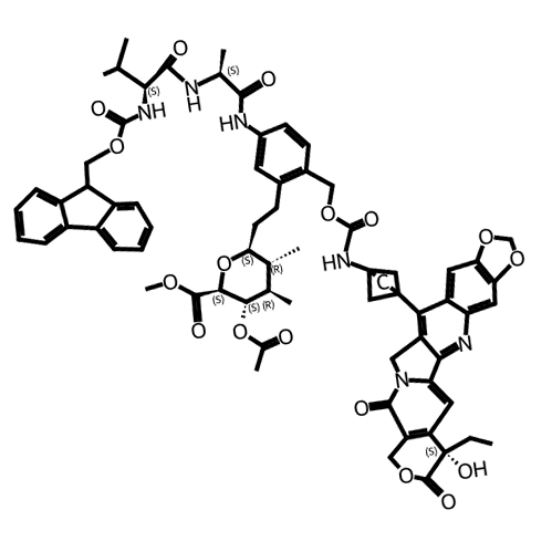 CC[C@@]1(O)C(=O)OCc2c1cc1n(c2=O)Cc2c-1nc1cc3c(cc1c2C12CC(NC(=O)OCc4ccc(NC(=O)[C@H](C)NC(=O)[C@@H](NC(=O)OCC5c6ccccc6-c6ccccc65)C(C)C)cc4CC[C@@H]4O[C@H](C(=O)OC)[C@@H](OC(C)=O)[C@H](C)[C@H]4C)(C1)C2)OCO3